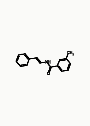 Cc1cccc(C(=O)NC=Cc2ccccc2)c1